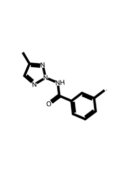 [CH2]c1cccc(C(=O)Nn2ncc(C)n2)c1